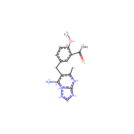 COC(=O)c1cc(Cc2c(C)nc3ncnn3c2N)ccc1OC(F)(F)F